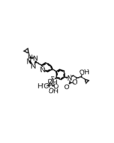 O=C1OC(C(O)C2CC2)CN1c1ccc(-c2ccc(-c3nnn(C4CC4)n3)nc2)c(F)c1.O=P(O)(O)O